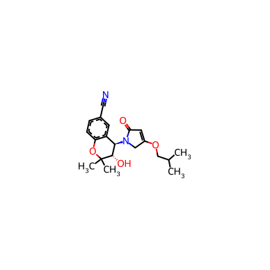 CC(C)COC1=CC(=O)N([C@@H]2c3cc(C#N)ccc3OC(C)(C)[C@H]2O)C1